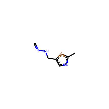 C=NNCc1cnc(C)s1